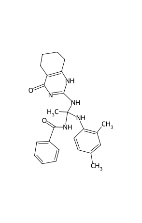 Cc1ccc(NC(C)(NC(=O)c2ccccc2)Nc2nc(=O)c3c([nH]2)CCCC3)c(C)c1